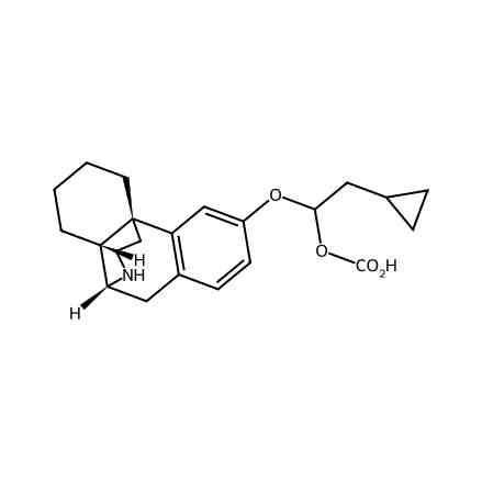 O=C(O)OC(CC1CC1)Oc1ccc2c(c1)[C@@]13CCCC[C@H]1[C@@H](C2)NCC3